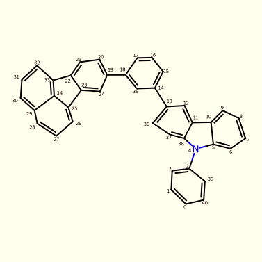 c1ccc(-n2c3ccccc3c3cc(-c4cccc(-c5ccc6c(c5)-c5cccc7cccc-6c57)c4)ccc32)cc1